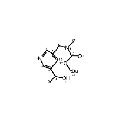 CC(O)c1cncc(CN(C)C(=O)OC(C)(C)C)c1